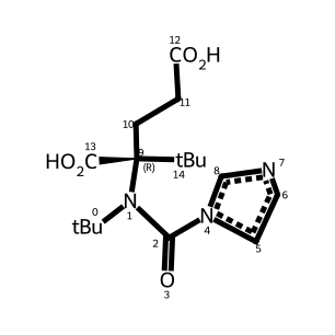 CC(C)(C)N(C(=O)n1ccnc1)[C@@](CCC(=O)O)(C(=O)O)C(C)(C)C